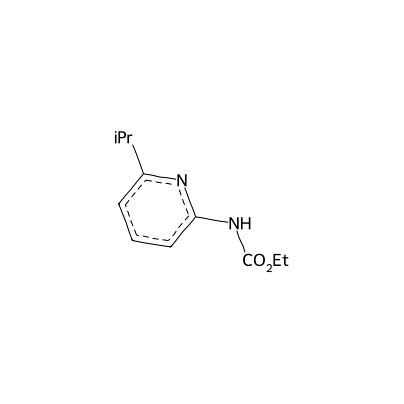 CCOC(=O)Nc1cccc(C(C)C)n1